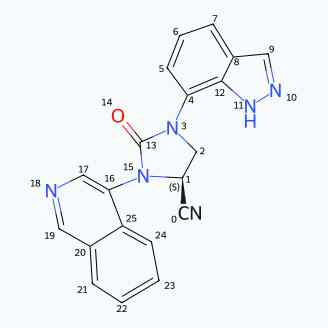 N#C[C@@H]1CN(c2cccc3cn[nH]c23)C(=O)N1c1cncc2ccccc12